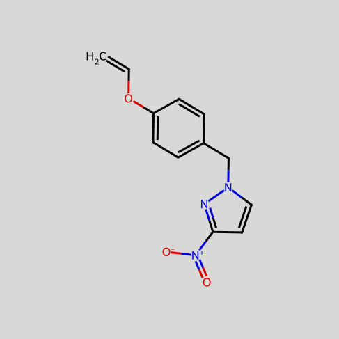 C=COc1ccc(Cn2ccc([N+](=O)[O-])n2)cc1